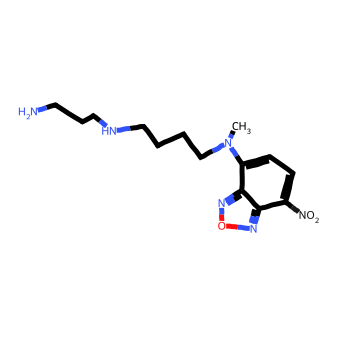 CN(CCCCNCCCN)c1ccc([N+](=O)[O-])c2nonc12